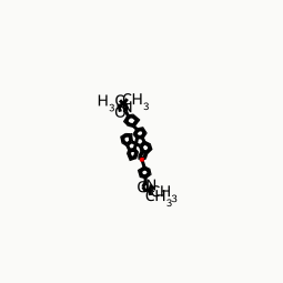 CC1(C)COC(c2ccc(-c3ccc4c(c3)C3(c5ccccc5-c5ccccc53)c3c-4ccc4cc(-c5ccc(C6=NC(C)(C)CO6)cc5)ccc34)cc2)=N1